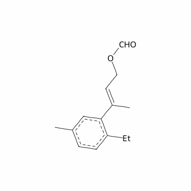 CCc1ccc(C)cc1/C(C)=C/COC=O